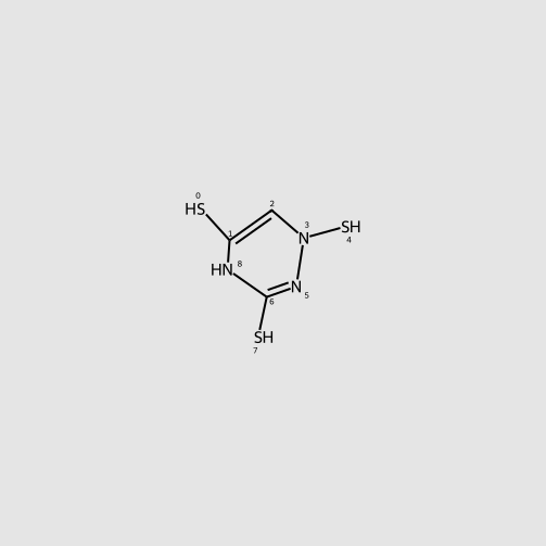 SC1=CN(S)N=C(S)N1